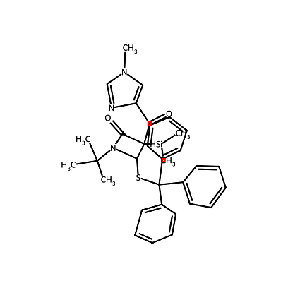 Cn1cnc(C(=O)C2([SiH](C)C)C(=O)N(C(C)(C)C)C2SC(c2ccccc2)(c2ccccc2)c2ccccc2)c1